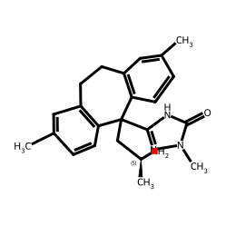 Cc1ccc2c(c1)CCc1cc(C)ccc1C2(C[C@H](C)N)c1nn(C)c(=O)[nH]1